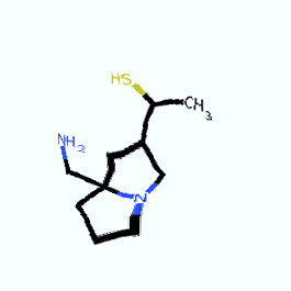 CC(S)C1CN2CCCC2(CN)C1